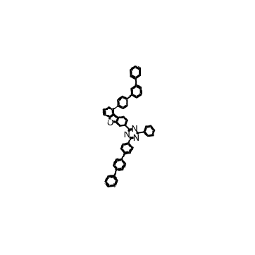 c1ccc(-c2ccc(-c3ccc(-c4nc(-c5ccccc5)nc(-c5ccc6c(c5)oc5cccc(-c7ccc(-c8cccc(-c9ccccc9)c8)cc7)c56)n4)cc3)cc2)cc1